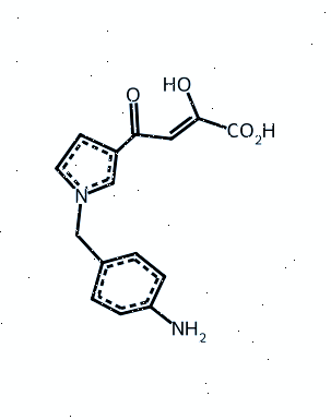 Nc1ccc(Cn2ccc(C(=O)/C=C(\O)C(=O)O)c2)cc1